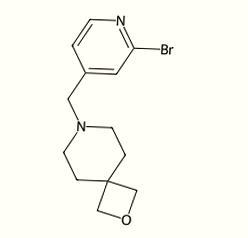 Brc1cc(CN2CCC3(CC2)COC3)ccn1